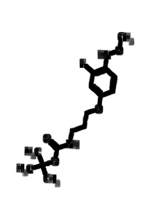 CONc1ccc(OCCCNC(=O)OC(C)(C)C)cc1F